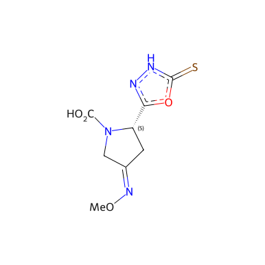 CON=C1C[C@@H](c2n[nH]c(=S)o2)N(C(=O)O)C1